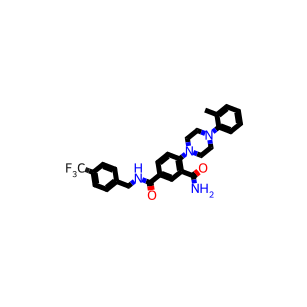 Cc1ccccc1N1CCN(c2ccc(C(=O)NCc3ccc(C(F)(F)F)cc3)cc2C(N)=O)CC1